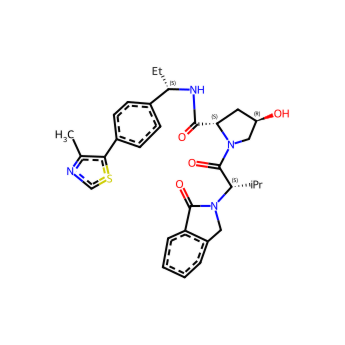 CC[C@H](NC(=O)[C@@H]1C[C@@H](O)CN1C(=O)[C@H](C(C)C)N1Cc2ccccc2C1=O)c1ccc(-c2scnc2C)cc1